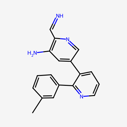 Cc1cccc(-c2ncccc2-c2cnc(C=N)c(N)c2)c1